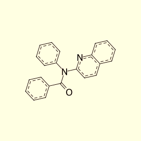 O=C(c1ccccc1)N(c1ccccc1)c1ccc2ccccc2n1